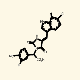 Cc1c(Cl)ccc2c(/C=C3\NC(=O)N(C(C(=O)O)c4ccc(C#N)c(F)c4)C3=O)c[nH]c12